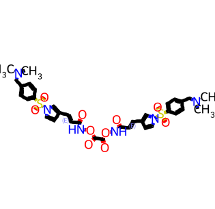 CN(C)Cc1ccc(S(=O)(=O)n2ccc(/C=C/C(=O)NOC(=O)C(=O)ONC(=O)/C=C/c3ccn(S(=O)(=O)c4ccc(CN(C)C)cc4)c3)c2)cc1